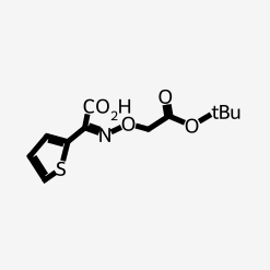 CC(C)(C)OC(=O)CO/N=C(\C(=O)O)c1cccs1